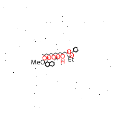 CCC1CC(CC(O)CC2CC(CC3CC(C)OC(c4c(OC)ccc5ccccc45)O3)OC(C)(C)O2)OC(c2ccccc2)O1